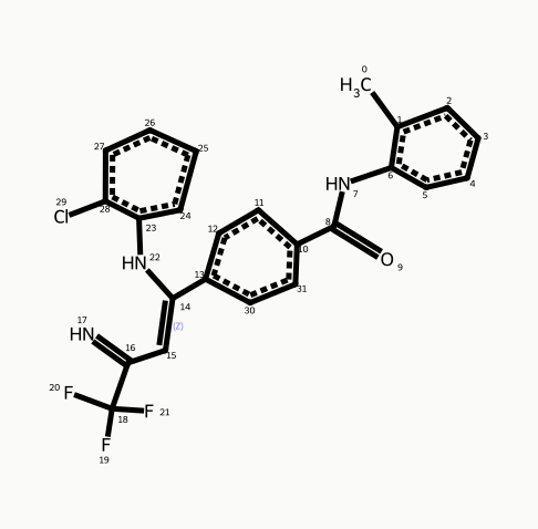 Cc1ccccc1NC(=O)c1ccc(/C(=C/C(=N)C(F)(F)F)Nc2ccccc2Cl)cc1